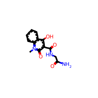 Cn1c(=O)c(C(=O)NCC(N)=O)c(O)c2ccccc21